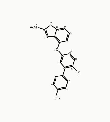 CC(=O)Nc1nc2c(Oc3cc(-c4ccc(C(F)(F)F)cc4)c(Br)cn3)cccc2s1